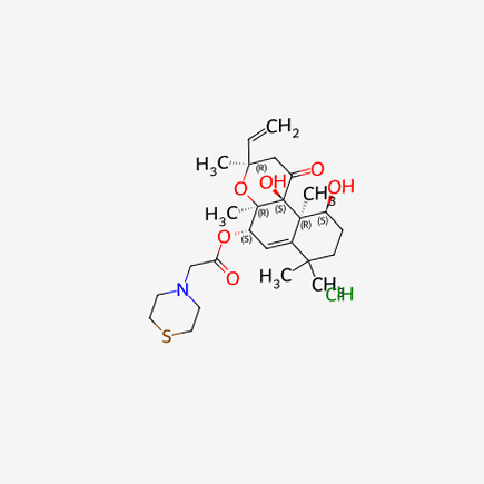 C=C[C@@]1(C)CC(=O)[C@@]2(O)[C@](C)(O1)[C@@H](OC(=O)CN1CCSCC1)C=C1C(C)(C)CC[C@H](O)[C@@]12C.Cl